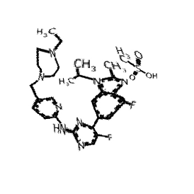 CCN1CCN(Cc2ccc(Nc3ncc(F)c(-c4cc(F)c5nc(C)n(C(C)C)c5c4)n3)nc2)CC1.CS(=O)(=O)O